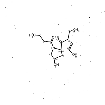 CCCC(=O)N1C[C@H](O)C[C@]1(C(=O)O)C(=O)CCC